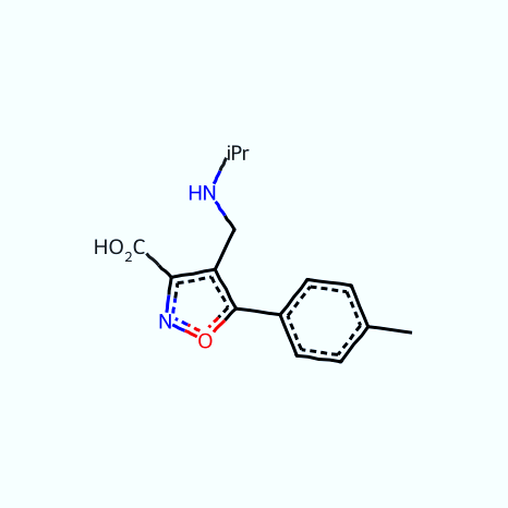 Cc1ccc(-c2onc(C(=O)O)c2CNC(C)C)cc1